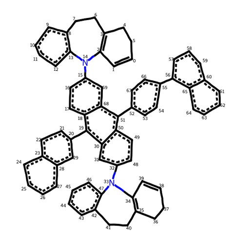 C1=CC2=C(CC1)CCc1ccccc1N2c1ccc2c(-c3ccc4ccccc4c3)c3cc(N4C5=C(CCC=C5)CCc5ccccc54)ccc3c(-c3ccc(-c4cccc5ccccc45)cc3)c2c1